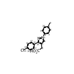 Cc1ccc(-n2cc(CC(=O)O)c(-c3ccc(Cl)cc3)n2)cc1